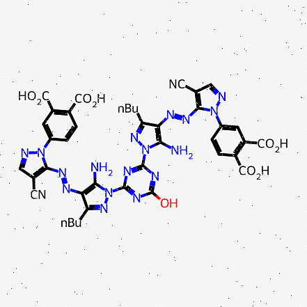 CCCCc1nn(-c2nc(O)nc(-n3nc(CCCC)c(N=Nc4c(C#N)cnn4-c4ccc(C(=O)O)c(C(=O)O)c4)c3N)n2)c(N)c1N=Nc1c(C#N)cnn1-c1ccc(C(=O)O)c(C(=O)O)c1